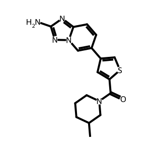 CC1CCCN(C(=O)c2cc(-c3ccc4nc(N)nn4c3)cs2)C1